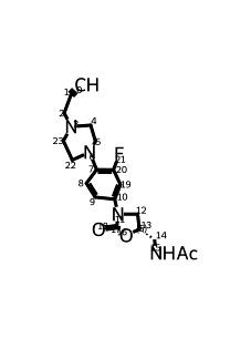 C#CCN1CCN(c2ccc(N3C[C@H](CNC(C)=O)OC3=O)cc2F)CC1